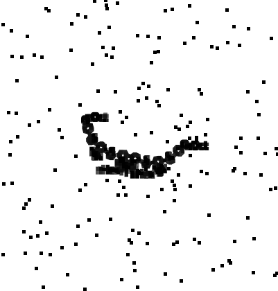 CCCCCCCCOc1ccc(-c2ccc(-c3ccc(-c4ccc(-c5ccc6c(c5)C(C(F)(F)C(F)(F)CCCCCC)(C(F)(F)C(F)(F)CCCCCC)c5cc(-c7ccc(-c8ccc(-c9ccc(-c%10ccc(OCCCCCCCC)cc%10)s9)c9nsnc89)s7)ccc5-6)s4)c4nsnc34)s2)cc1